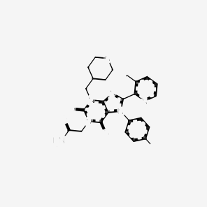 NC(=O)Cn1c(=O)c2c(nc(-c3ncccc3Cl)n2-c2ccc(Cl)cc2)n(CC2CCNCC2)c1=O